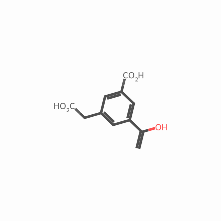 C=C(O)c1cc(CC(=O)O)cc(C(=O)O)c1